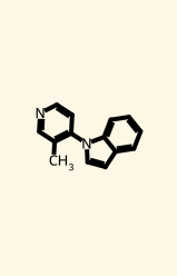 Cc1cnccc1-n1ccc2ccccc21